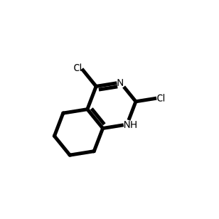 ClC1=NC(Cl)NC2=C1CCCC2